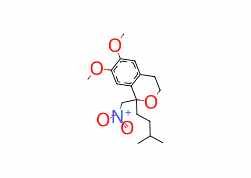 COc1cc2c(cc1OC)C(CCC(C)C)(C[N+](=O)[O-])OCC2